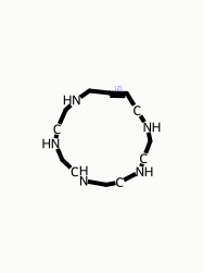 C1=C\CNCCNCCNCCNCCNC/1